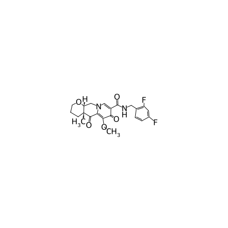 COc1c2n(cc(C(=O)NCc3ccc(F)cc3F)c1=O)C[C@H]1OCCC[C@@]1(C)C2=O